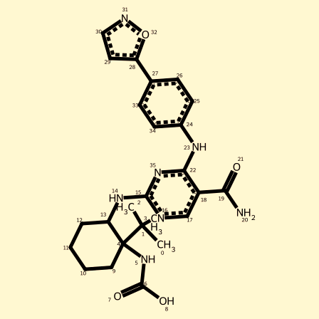 CC(C)(C)C1(NC(=O)O)CCCCC1Nc1ncc(C(N)=O)c(Nc2ccc(-c3ccno3)cc2)n1